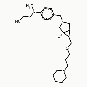 CN(CCC#N)c1ccc(CN2CC3C(COCCCN4CCCCC4)[C@H]3C2)cc1